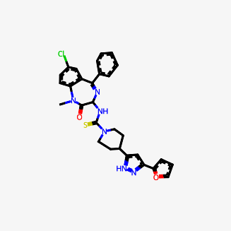 CN1C(=O)C(NC(=S)N2CCC(c3cc(-c4ccco4)n[nH]3)CC2)N=C(c2ccccc2)c2cc(Cl)ccc21